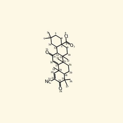 CC1(C)CCC2(C(=O)Cl)CCC3(C)C(C(=O)C=C4C5(C)C=C(C#N)C(=O)C(C)(C)C5CCC43C)C2C1